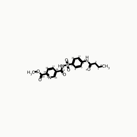 CCCC(=O)Nc1ccc(S(=O)(=O)NC(=O)c2ccc(C(=O)OC)nc2)cc1